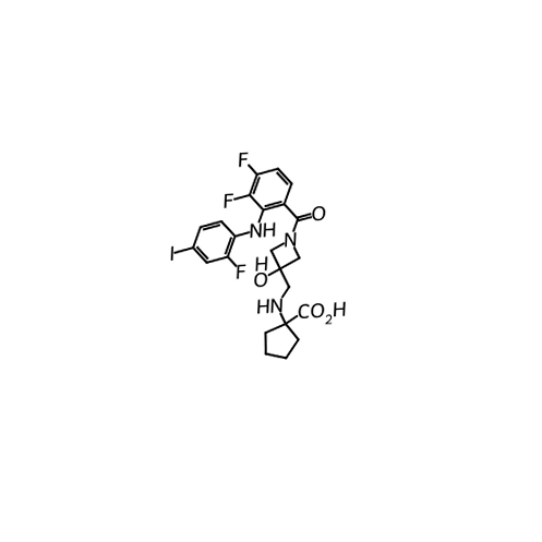 O=C(c1ccc(F)c(F)c1Nc1ccc(I)cc1F)N1CC(O)(CNC2(C(=O)O)CCCC2)C1